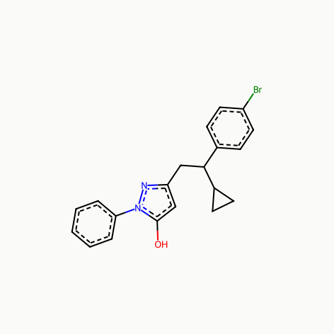 Oc1cc(CC(c2ccc(Br)cc2)C2CC2)nn1-c1ccccc1